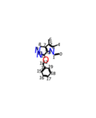 C=Cn1c(C)c(C)c2cnnc(OCc3ccccc3)c21